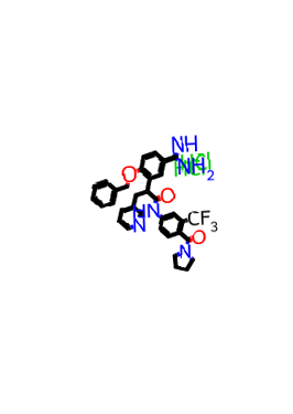 Cl.Cl.N=C(N)c1ccc(OCc2ccccc2)c(C(Cc2cccnc2)C(=O)Nc2ccc(C(=O)N3CCCC3)c(C(F)(F)F)c2)c1